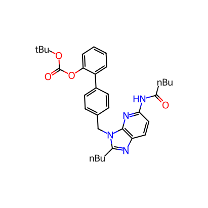 CCCCC(=O)Nc1ccc2nc(CCCC)n(Cc3ccc(-c4ccccc4OC(=O)OC(C)(C)C)cc3)c2n1